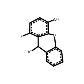 O=CC1c2ccccc2Oc2c(O)ccc(F)c21